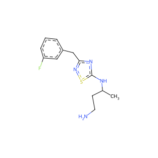 CC(CCN)Nc1nc(Cc2cccc(F)c2)ns1